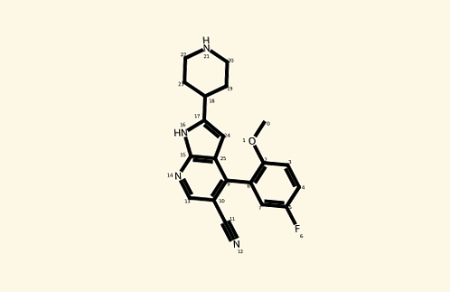 COc1ccc(F)cc1-c1c(C#N)cnc2[nH]c(C3CCNCC3)cc12